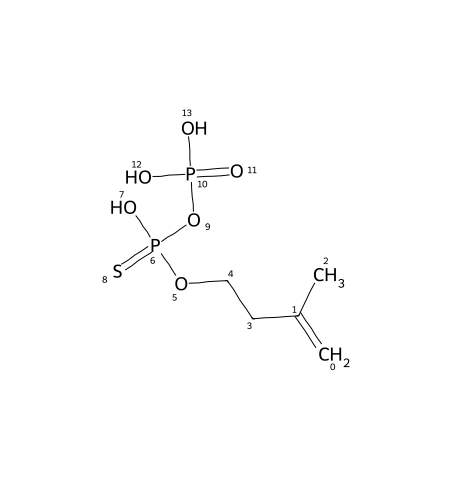 C=C(C)CCOP(O)(=S)OP(=O)(O)O